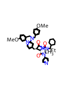 CC[C@@H](NC(=O)N1C(=O)[C@H](Cc2ccnc(N(Cc3ccc(OC)cc3)Cc3ccc(OC)cc3)c2)[C@H]1C(=O)N(C)c1ccncc1)C1CCCCC1